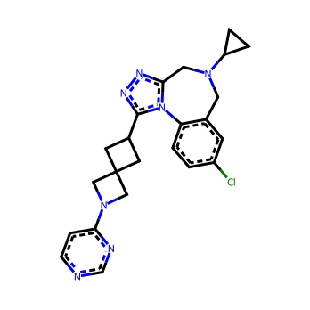 Clc1ccc2c(c1)CN(C1CC1)Cc1nnc(C3CC4(C3)CN(c3ccncn3)C4)n1-2